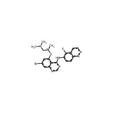 C[C@H](CN(C)C)Oc1cc(Br)cc2ncnc(Nc3ccc4nnccc4c3F)c12